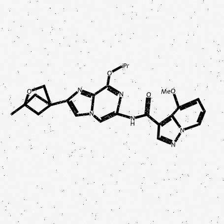 COc1cccn2ncc(C(=O)Nc3cn4cc(C56COC(C)(C5)C6)nc4c(OC(C)C)n3)c12